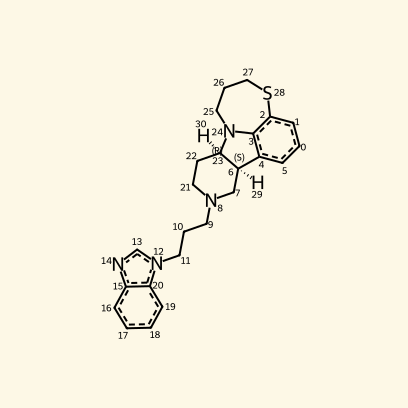 c1cc2c3c(c1)[C@H]1CN(CCCn4cnc5ccccc54)CC[C@H]1N3CCCS2